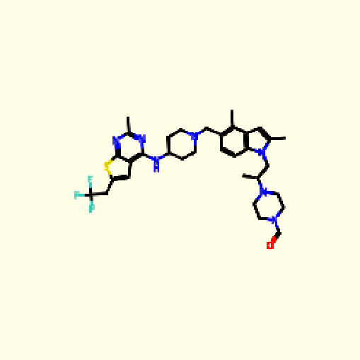 Cc1nc(NC2CCN(Cc3ccc4c(cc(C)n4C[C@H](C)N4CCN(C=O)CC4)c3C)CC2)c2cc(CC(F)(F)F)sc2n1